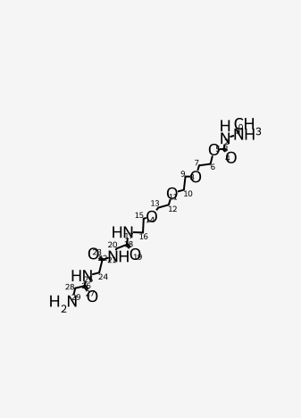 CNNC(=O)OCCOCCOCCOCCNC(=O)CNC(=O)CNC(=O)CN